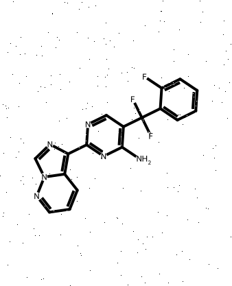 Nc1nc(-c2ncn3ncccc23)ncc1C(F)(F)c1ccccc1F